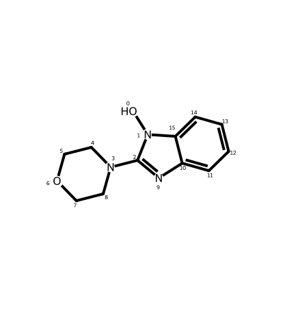 On1c(N2CCOCC2)nc2ccccc21